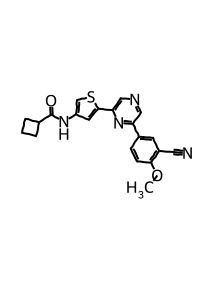 COc1ccc(-c2cncc(-c3cc(NC(=O)C4CCC4)cs3)n2)cc1C#N